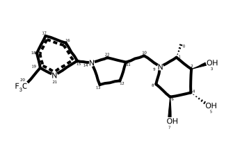 C[C@@H]1[C@@H](O)[C@H](O)[C@@H](O)CN1CC1CCN(c2cccc(C(F)(F)F)n2)C1